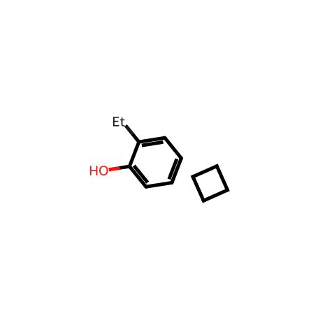 C1CCC1.CCc1ccccc1O